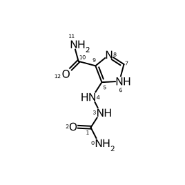 NC(=O)NNc1[nH]cnc1C(N)=O